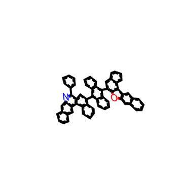 c1ccc(-c2nc3cc4ccccc4cc3c3c2cc(-c2c4ccccc4c(-c4cc5ccccc5c5c4oc4cc6ccccc6cc45)c4ccccc24)c2ccccc23)cc1